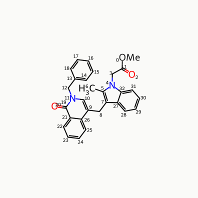 COC(=O)Cn1c(C)c(Cc2cn(Cc3ccccc3)c(=O)c3ccccc23)c2ccccc21